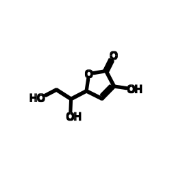 O=C1OC(C(O)CO)C=C1O